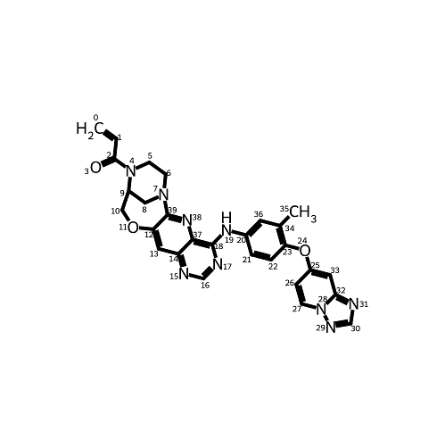 C=CC(=O)N1CCN2CC1COc1cc3ncnc(Nc4ccc(Oc5ccn6ncnc6c5)c(C)c4)c3nc12